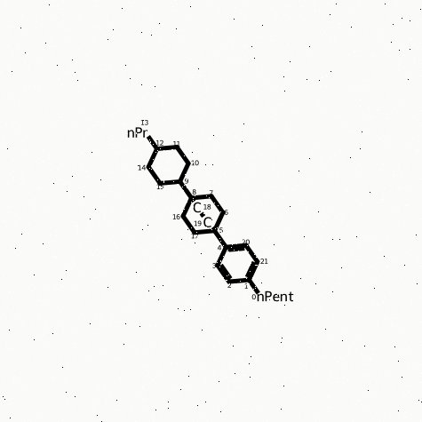 CCCCCc1ccc(C23CCC(C4CCC(CCC)CC4)(CC2)CC3)cc1